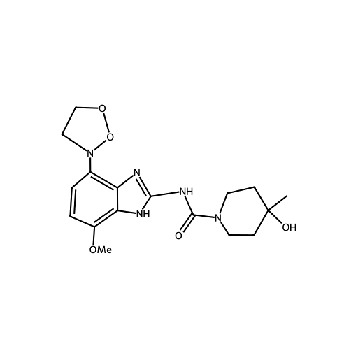 COc1ccc(N2CCOO2)c2nc(NC(=O)N3CCC(C)(O)CC3)[nH]c12